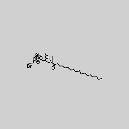 CCCCCCCCCCCCCCCCCC(=O)NCC(COP(=O)(O)OCCBr)OC